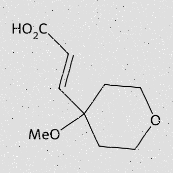 COC1(C=CC(=O)O)CCOCC1